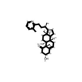 Cc1cccnc1CC[C@@H](C)[C@H]1CC[C@H]2[C@@H]3CC=C4C[C@H](O)CC(=O)[C@]4(C)[C@H]3CC[C@]12C